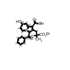 CCOC(=O)C(C)(C)Cc1c(C(=O)C(C)(C)C)c2cc(O)ccn2c1C(=O)c1ccccc1